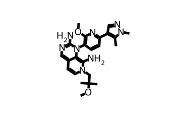 COc1nc(-c2cnn(C)c2C)ccc1N1C(N)=NC=C2C=CN(CC(C)(C)OC)C(N)=C21